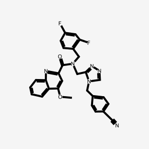 COc1cc(C(=O)N(Cc2ccc(F)cc2F)Cc2nncn2Cc2ccc(C#N)cc2)nc2ccccc12